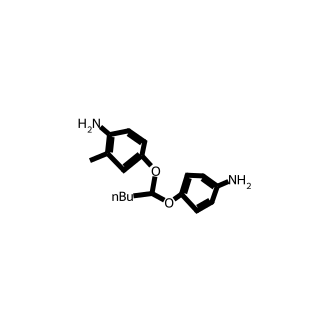 CCCCC(Oc1ccc(N)cc1)Oc1ccc(N)c(C)c1